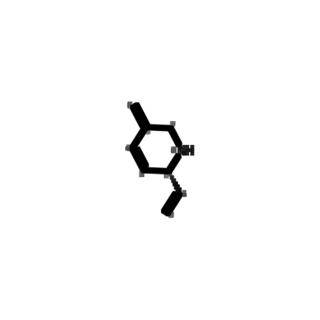 C=C[C@@H]1C=CC(=C)CN1